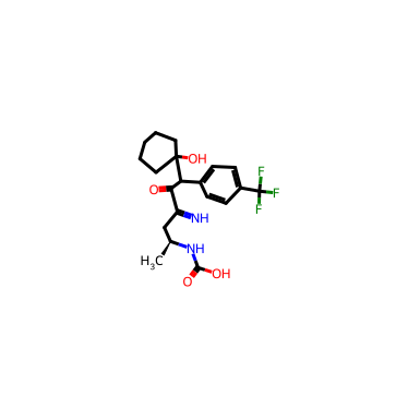 C[C@@H](CC(=N)C(=O)C(c1ccc(C(F)(F)F)cc1)C1(O)CCCCC1)NC(=O)O